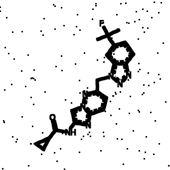 CC(C)(F)c1ccc2nnn(Cc3ccc4nc(NC(=O)C5CC5)cn4n3)c2c1